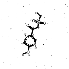 CCS(=O)(=O)CC(=O)c1cnc(OC)cn1